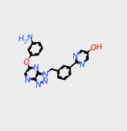 Nc1cccc(Oc2cnc3nnn(Cc4cccc(-c5ncc(O)cn5)c4)c3n2)c1